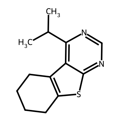 CC(C)c1ncnc2sc3c(c12)CCCC3